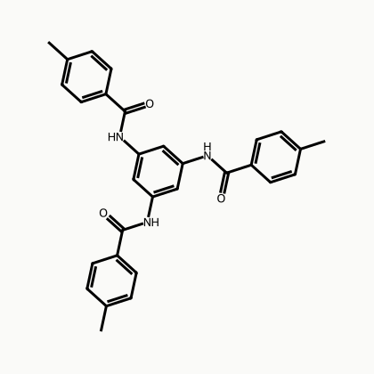 Cc1ccc(C(=O)Nc2cc(NC(=O)c3ccc(C)cc3)cc(NC(=O)c3ccc(C)cc3)c2)cc1